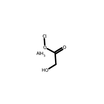 O=C(CO)OCl.[AlH3]